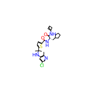 Cc1ncc(Cl)cc1NC(C)(C)c1ccc(C(=O)N[C@@H](CC2CCCC2)C(=O)NC23CC(C2)C3)s1